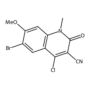 COc1cc2c(cc1Br)c(Cl)c(C#N)c(=O)n2C